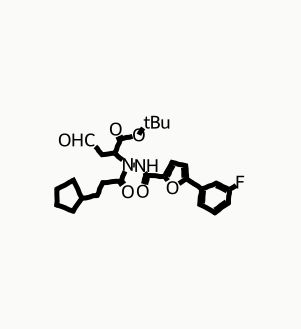 CC(C)(C)OC(=O)C(CC=O)N(NC(=O)c1ccc(-c2cccc(F)c2)o1)C(=O)CCC1CCCC1